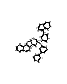 c1ccc(-c2cccc(N(c3cccc(-c4cccc5ccccc45)c3)c3cnc4oc5c6ccccc6ccc5c4c3)c2)cc1